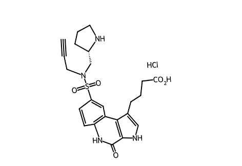 C#CCN(C[C@@H]1CCCN1)S(=O)(=O)c1ccc2[nH]c(=O)c3[nH]cc(CCCC(=O)O)c3c2c1.Cl